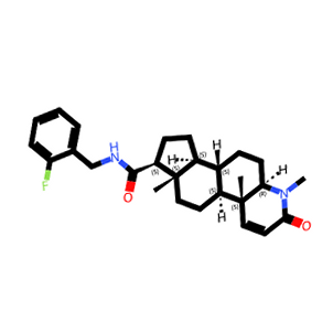 CN1C(=O)C=C[C@]2(C)[C@H]3CC[C@]4(C)[C@@H](C(=O)NCc5ccccc5F)CC[C@H]4[C@@H]3CC[C@@H]12